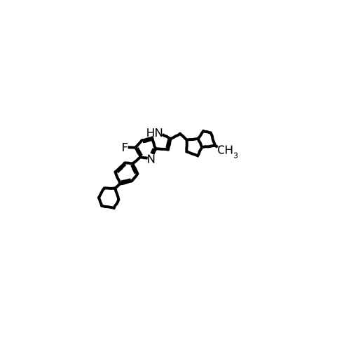 CC1CCC2C(Cc3cc4nc(-c5ccc(C6CCCCC6)cc5)c(F)cc4[nH]3)CCC12